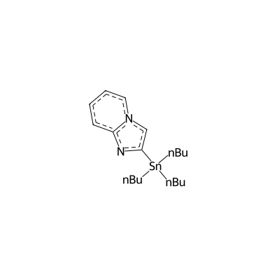 CCC[CH2][Sn]([CH2]CCC)([CH2]CCC)[c]1cn2ccccc2n1